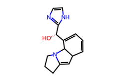 O[C@@H](C1=CC=CC2C=C3CCCN3C12)c1ncc[nH]1